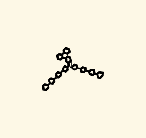 c1ccc(-c2ccc(-c3ccc(-c4ccc(N(c5ccc(-c6ccc(-c7ccc(-c8ccccc8)cc7)cc6)cc5)c5cccc(-c6ccccc6-c6ccccc6)c5)cc4)cc3)cc2)cc1